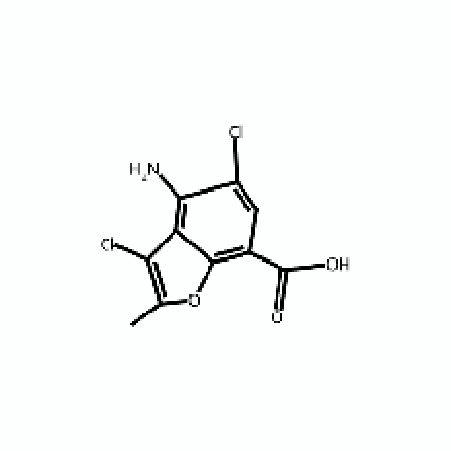 Cc1oc2c(C(=O)O)cc(Cl)c(N)c2c1Cl